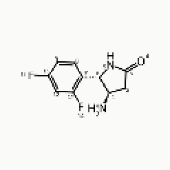 N[C@@H]1CC(=O)N[C@H]1c1ccc(F)cc1F